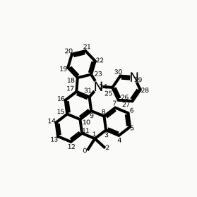 CC1(C)c2ccccc2-c2c3c1cccc3cc1c3ccccc3n(-c3cccnc3)c21